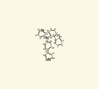 c1ccc2c(c1)sc1ccc3c4ncccc4n(-c4ccc(-c5ccncc5)cc4)c3c12